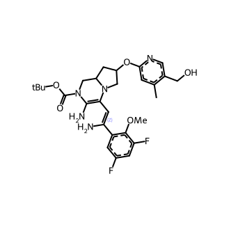 COc1c(F)cc(F)cc1/C(N)=C/C1=C(N)N(C(=O)OC(C)(C)C)CC2CC(Oc3cc(C)c(CO)cn3)CN12